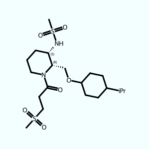 CC(C)C1CCC(OC[C@H]2[C@@H](NS(C)(=O)=O)CCCN2C(=O)CCS(C)(=O)=O)CC1